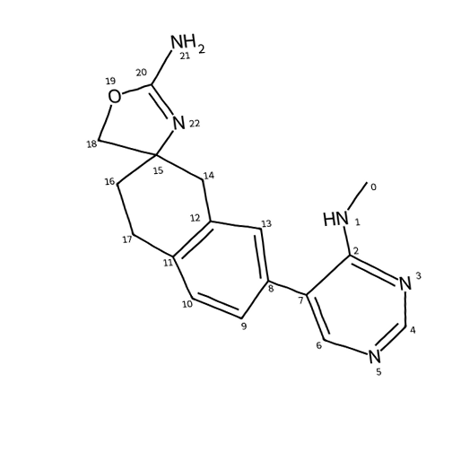 CNc1ncncc1-c1ccc2c(c1)CC1(CC2)COC(N)=N1